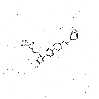 Cc1cccc(OCC2CCN(c3ccc(-c4nc(C(F)(F)F)cn4COCC[Si](C)(C)C)cn3)CC2)c1